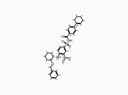 O=C(NS(=O)(=O)c1ccc(N[C@H]2CCCC[C@@H]2OCc2ccccc2)c([N+](=O)[O-])c1)c1ccc(C2=CCCCC2)cc1